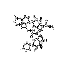 CN1CCN(CCCNC(=O)N(c2n[nH]c3c(F)c(F)c(-c4ccccc4)cc23)c2nn(C(N)=O)c3c(F)c(F)c(-c4ccccc4)cc23)CC1